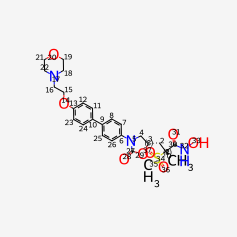 C[C@@](C[C@H]1CN(c2ccc(-c3ccc(OCCN4CCOCC4)cc3)cc2)C(=O)O1)(C(=O)NO)S(C)(=O)=O